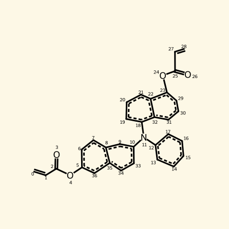 C=CC(=O)Oc1ccc2cc(N(c3ccccc3)c3cccc4c(OC(=O)C=C)cccc34)ccc2c1